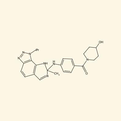 CC(C)n1nnc2ccc3c(c21)NC(C)(Nc1ccc(C(=O)N2CCC(O)CC2)cc1)N=C3